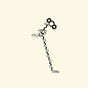 COCCOCCOCCOCCOCCOCCOCCNC(=O)[C@H](CC(=O)O)NC(=O)CCC(=O)N1Cc2ccccc2/C=C\c2ccccc21